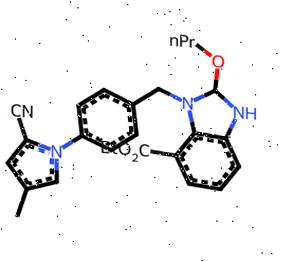 CCCOC1Nc2cccc(C(=O)OCC)c2N1Cc1ccc(-n2cc(C)cc2C#N)cc1